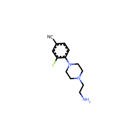 N#Cc1ccc(N2CCN(CCN)CC2)c(F)c1